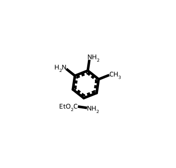 CCOC(N)=O.Cc1cccc(N)c1N